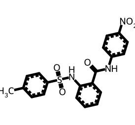 Cc1ccc(S(=O)(=O)Nc2ccccc2C(=O)Nc2ccc([N+](=O)[O-])cc2)cc1